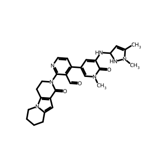 CC1=CC(Nc2cc(-c3ccnc(N4CCc5c(cc6n5CCCC6)C4=O)c3C=O)cn(C)c2=O)NN1C